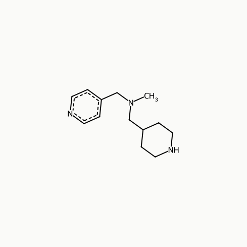 CN(Cc1ccncc1)CC1CCNCC1